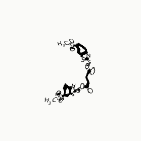 CS(=O)(=O)c1ccc2nc(SOC(=O)CCC(=O)OSc3nc4ccc(S(C)(=O)=O)cc4s3)sc2c1